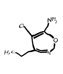 CCc1noc(N)c1Cl